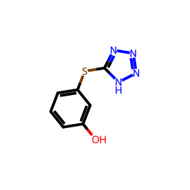 Oc1cccc(Sc2nnn[nH]2)c1